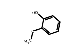 Oc1ccccc1O[SiH3]